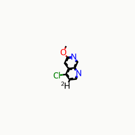 [2H]c1cnc2cnc(OC)cc2c1Cl